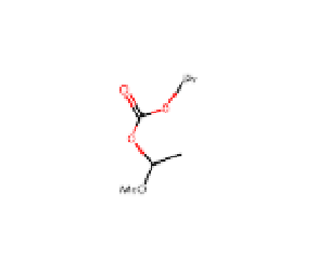 COC(C)OC(=O)OC(C)C